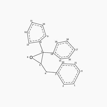 c1ccc(CC2OC2(c2ccccc2)c2ccccc2)cc1